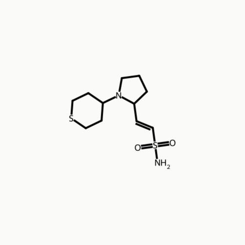 NS(=O)(=O)C=CC1CCCN1C1CCSCC1